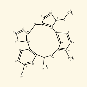 CCn1nnc2c1-c1cnc(N)c(c1)OC(C)c1cc(F)ccc1-c1sncc1C2